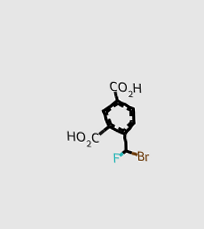 O=C(O)c1ccc(C(F)Br)c(C(=O)O)c1